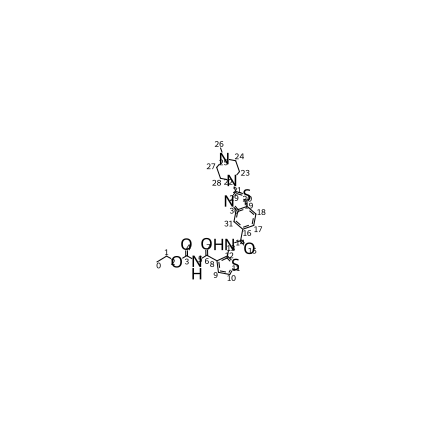 CCOC(=O)NC(=O)c1ccsc1NC(=O)c1ccc2sc(N3CCN(C)CC3)nc2c1